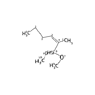 CCCC=C(C)[SiH](OC)OC